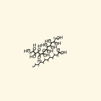 CCCCCCCCCCCC(=O)O.OC[C@@H](O)[C@@H](O)[C@H](O)[C@@H](O)C(O)OC(O)[C@H](O)[C@@H](O)[C@H](O)[C@H](O)CO